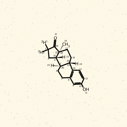 [2H]C1([2H])C[C@H]2[C@@H]3CCc4cc(O)ccc4[C@H]3CC[C@]2(C)C1=O